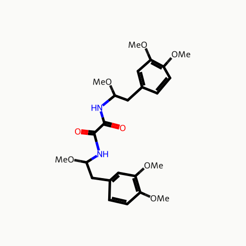 COc1ccc(CC(NC(=O)C(=O)NC(Cc2ccc(OC)c(OC)c2)OC)OC)cc1OC